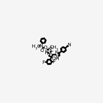 C[C@@H](c1nc(-c2ccc(C#N)cc2)cs1)[C@](O)(Cn1c[n+](C)c(OC(=O)N(C)c2ccccc2)n1)c1cc(F)ccc1F